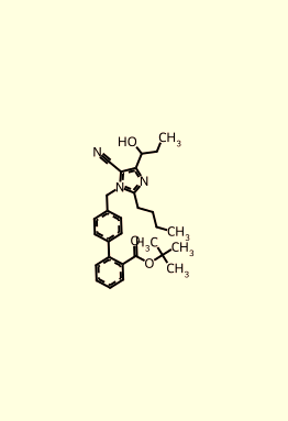 CCCCc1nc(C(O)CC)c(C#N)n1Cc1ccc(-c2ccccc2C(=O)OC(C)(C)C)cc1